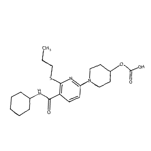 CCCSc1nc(N2CCC(OC(=O)O)CC2)ccc1C(=O)NC1CCCCC1